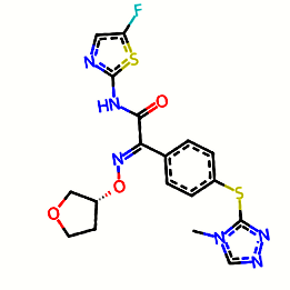 Cn1cnnc1Sc1ccc(/C(=N\O[C@@H]2CCOC2)C(=O)Nc2ncc(F)s2)cc1